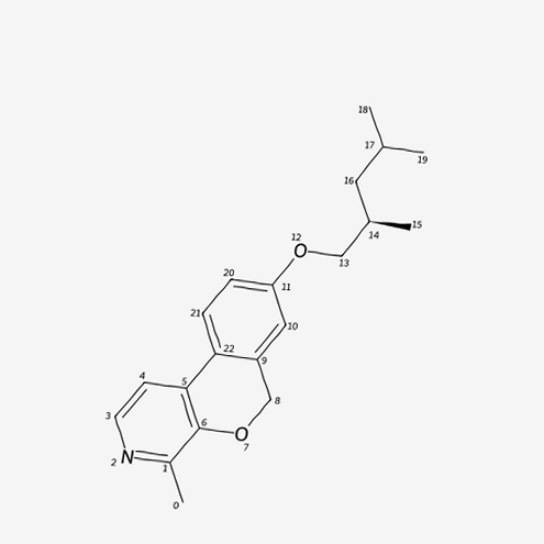 Cc1nccc2c1OCc1cc(OC[C@H](C)CC(C)C)ccc1-2